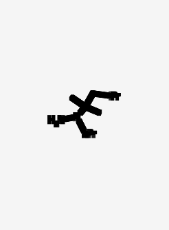 CCCN(N)C(C)(C)CC(C)C